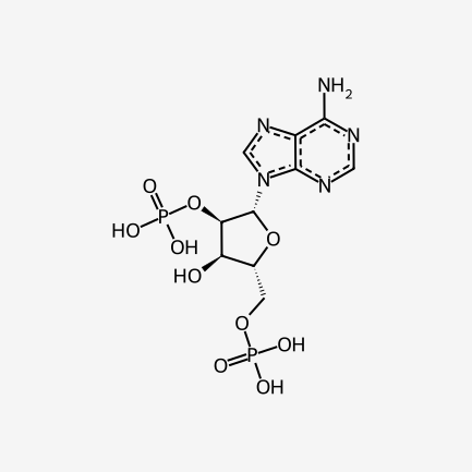 Nc1ncnc2c1ncn2[C@@H]1O[C@H](COP(=O)(O)O)[C@@H](O)[C@H]1OP(=O)(O)O